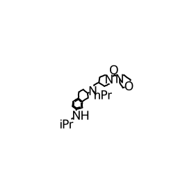 CCCN(CC1CCN(C(=O)N2CCOCC2)CC1)C1CCc2ccc(NCC(C)C)cc2C1